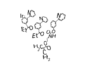 C=C(C)C(=O)OCCNC(=O)Oc1cccc(-c2ccccn2)c1.CCC(=O)c1cccc(-c2ccccn2)c1.CCC(=O)c1cccc(-c2ccccn2)c1.[Ir]